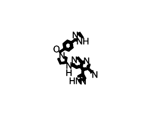 N#Cc1cnc2cnc(N[C@@H]3CCN(C(=O)c4ccc(-c5ncc[nH]5)cc4)C3)cc2c1-c1cn[nH]c1